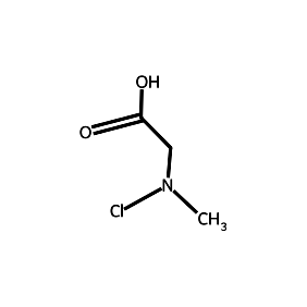 CN(Cl)CC(=O)O